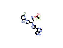 N#CC[C@@H]([C@H]1CCN(c2nc(Cl)ccc2N)C1)n1cc(-c2ncnc3[nH]ccc23)cn1.O=C(O)C(F)(F)F